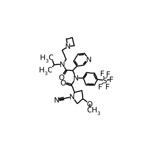 COC1CC(C(=O)N(c2ccc(S(F)(F)(F)(F)F)cc2)C(C(=O)N(CCN2CCC2)C(C)C)c2cccnc2)N(C#N)C1